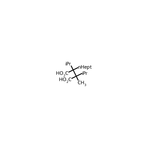 CCCCCCCC(C(=O)O)(C(C)C)C(C)(C(=O)O)C(C)C